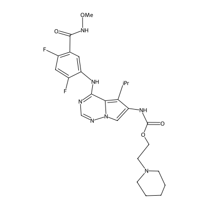 CONC(=O)c1cc(Nc2ncnn3cc(NC(=O)OCCN4CCCCC4)c(C(C)C)c23)c(F)cc1F